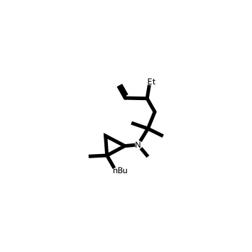 C=CC(CC)CC(C)(C)N(C)C1CC1(C)CCCC